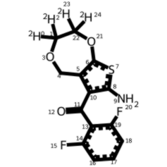 [2H]C1([2H])OCc2c(sc(N)c2C(=O)c2c(F)cccc2F)OC1([2H])[2H]